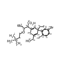 CC(C)(C)[C@H](OCC[Si](C)(C)C)N(C(=O)O)C1=NC(CF)(c2cc(Br)ccc2F)C=C(CO)S1